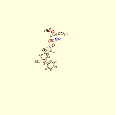 CCc1cc([N+](=O)[O-])c(C(C)COC(=O)NC(COC(C)(C)C)C(=O)O)cc1Sc1ccccc1